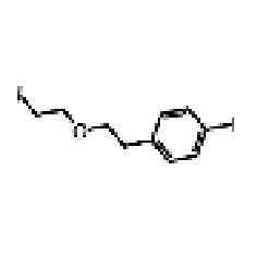 ICCOCCc1ccc(I)cc1